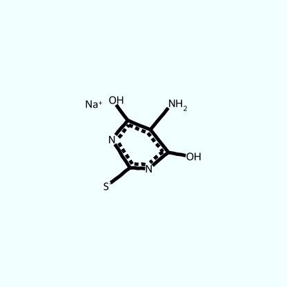 Nc1c(O)nc([S-])nc1O.[Na+]